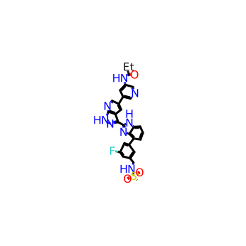 CCC(=O)Nc1cncc(-c2cnc3[nH]nc(-c4nc5c(-c6cc(F)cc(CNS(C)(=O)=O)c6)cccc5[nH]4)c3c2)c1